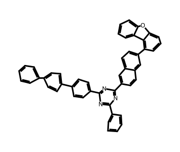 c1ccc(-c2ccc(-c3ccc(-c4nc(-c5ccccc5)nc(-c5ccc6cc(-c7cccc8oc9ccccc9c78)ccc6c5)n4)cc3)cc2)cc1